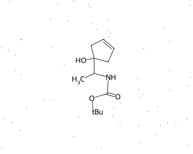 CC(NC(=O)OC(C)(C)C)C1(O)CC=CC1